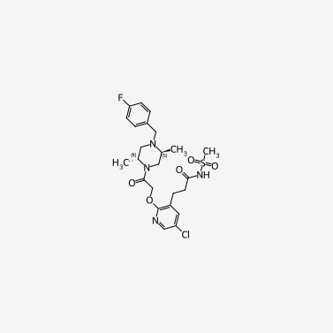 C[C@@H]1CN(Cc2ccc(F)cc2)[C@@H](C)CN1C(=O)COc1ncc(Cl)cc1CCC(=O)NS(C)(=O)=O